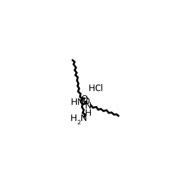 CCCCCCCCCCCCCCCC(=O)NC(CCCCN)C(=O)NCCCCCCCCCCCC.Cl